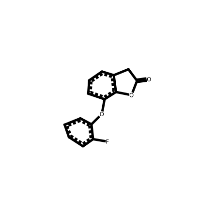 O=C1Cc2cccc(Oc3ccccc3F)c2O1